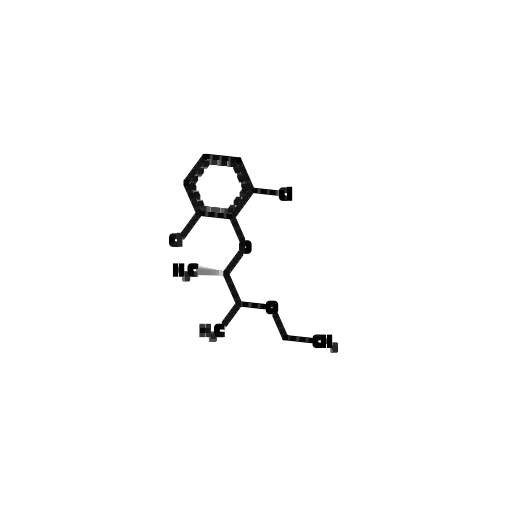 CCOC(C)[C@H](C)Oc1c(Cl)cccc1Cl